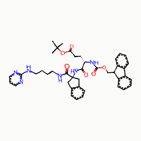 CC(C)(C)OC(=O)CC[C@H](NC(=O)OCC1c2ccccc2-c2ccccc21)C(=O)NC1(C(=O)NCCCCNc2ncccn2)Cc2ccccc2C1